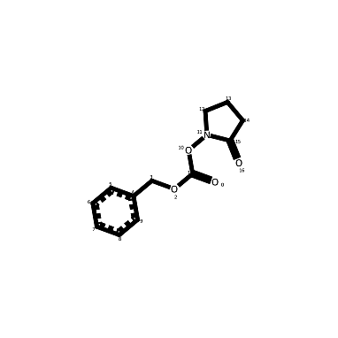 O=C(OCc1ccccc1)ON1CCCC1=O